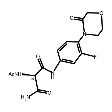 CC(=O)N[C@H](C(N)=O)C(=O)Nc1ccc(N2CCOCC2=O)c(F)c1